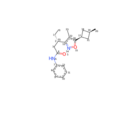 CC[C@@H](CC(=O)Nc1ccccc1)c1noc([C@H]2C[C@@H](C)C2)c1C